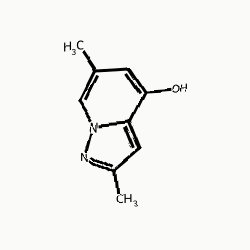 Cc1cc(O)c2cc(C)nn2c1